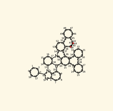 c1ccc(-c2nc3cccc4c3n2-c2cccc3c2B4c2cc4c5ccccc5c5ccccc5c4c4c5c6c7ccccc7c7ccccc7c6ccc5n-3c24)cc1